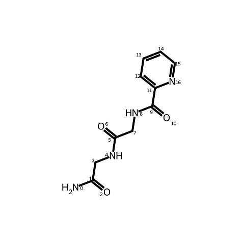 NC(=O)CNC(=O)CNC(=O)c1ccccn1